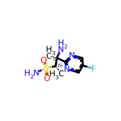 C[C@@H]([C@@](C)(N)c1ncc(F)cn1)S(N)(=O)=O